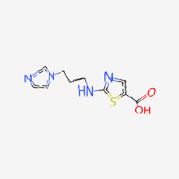 O=C(O)c1cnc(NCCCn2ccnc2)s1